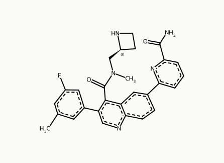 Cc1cc(F)cc(-c2cnc3ccc(-c4cccc(C(N)=O)n4)cc3c2C(=O)N(C)C[C@@H]2CCN2)c1